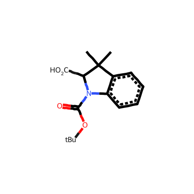 CC(C)(C)OC(=O)N1c2ccccc2C(C)(C)C1C(=O)O